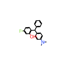 CN(C)c1ccc(C(c2ccccc2)c2ccc(F)cc2O)cc1